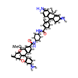 C=c1ccc2c(c1)Oc1cc(N(C)C)ccc1C=2c1ccc(C(=O)NC2CCC(NC(=O)c3ccc(C4=C5C=C/C(=N\C)C=C5[Si](C)(C)c5cc(N)ccc54)c(C)c3)CC2)cc1C(=O)OC